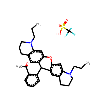 COC(=O)c1ccccc1C1c2cc3c(cc2Oc2cc4c(cc21)CCCN4CCC(F)(F)F)N(CCC(F)(F)F)CCC3.O=S(=O)(O)C(F)(F)F